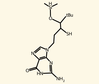 C[SiH](C)OC(C(S)CCn1cnc2c(=O)[nH]c(N)nc21)C(C)(C)C